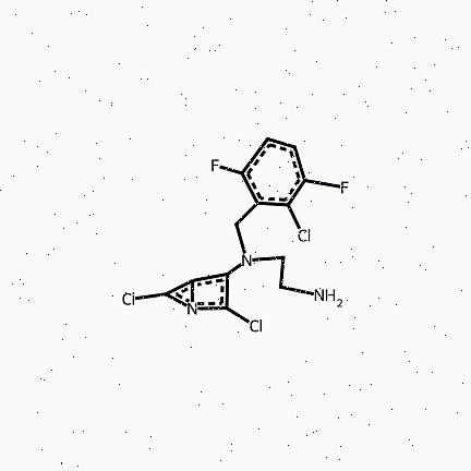 NCCN(Cc1c(F)ccc(F)c1Cl)c1c2c(Cl)n-2c1Cl